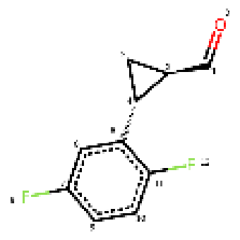 O=C[C@@H]1C[C@H]1c1cc(F)ccc1F